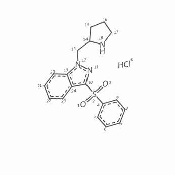 Cl.O=S(=O)(c1ccccc1)c1nn(CC2CCCN2)c2ccccc12